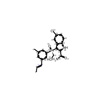 C/C=C/c1cc(C)cc([P@@](=O)(CO)c2c(C(N)=O)[nH]c3ccc(Cl)cc23)c1